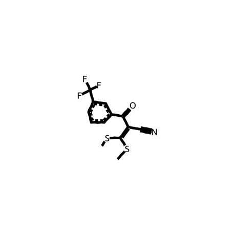 CSC(SC)=C(C#N)C(=O)c1cccc(C(F)(F)F)c1